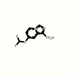 O=C(O)c1ncn2ccc(OC(F)F)cc12